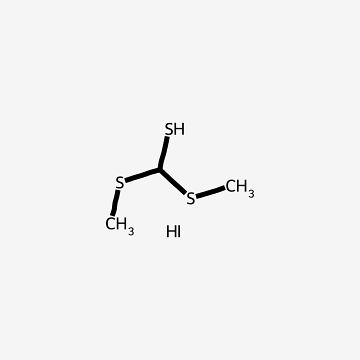 CSC(S)SC.I